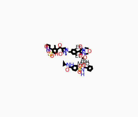 CCc1cc(C)cc(CC)c1-c1c(OC(=O)C(C)(C)C)n2n(c1=O)CCOCC2.COc1ccccc1C(=O)NS(=O)(=O)c1ccc(C(=O)NC2CC2)cc1.Cc1c(C(=O)c2cnn(C)c2O)ccc(S(C)(=O)=O)c1C1=NOCC1